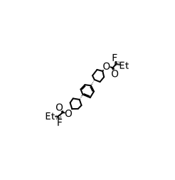 CC[C@H](F)C(=O)O[C@H]1CC[C@H](c2ccc([C@H]3CC[C@H](OC(=O)[C@@H](F)CC)CC3)cc2)CC1